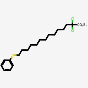 CCOC(=O)C(Cl)(Cl)CCCCCCCCCCCCSc1ccccc1